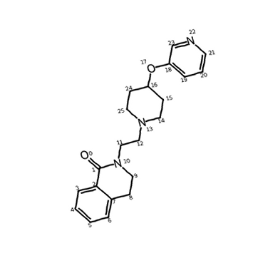 O=C1c2ccccc2CCN1CCN1CCC(Oc2cccnc2)CC1